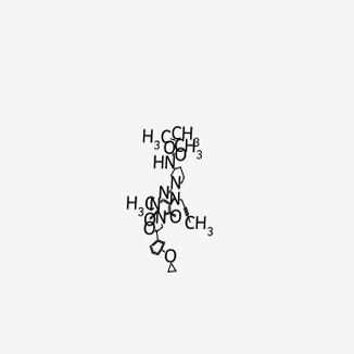 CC#CCn1c(N2CCC[C@@H](NC(=O)OC(C)(C)C)C2)nc2c1c(=O)n(CC(=O)c1cccc(OC3CC3)c1)c(=O)n2C